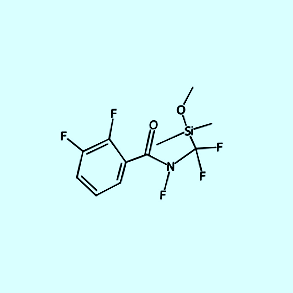 CO[Si](C)(C)C(F)(F)N(F)C(=O)c1cccc(F)c1F